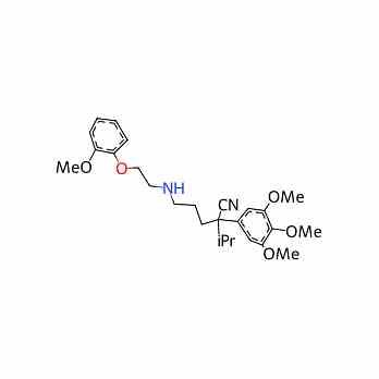 COc1ccccc1OCCNCCCC(C#N)(c1cc(OC)c(OC)c(OC)c1)C(C)C